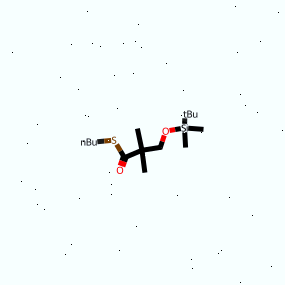 CCCCSC(=O)C(C)(C)CO[Si](C)(C)C(C)(C)C